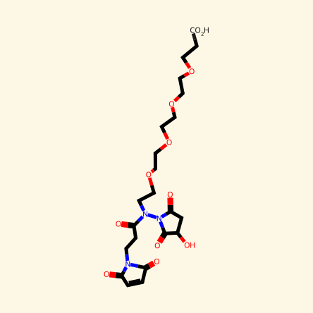 O=C(O)CCOCCOCCOCCOCCN(C(=O)CCN1C(=O)C=CC1=O)N1C(=O)CC(O)C1=O